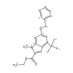 CCOC(=O)c1cc2c(C(F)(F)F)cc(OCc3ccccc3)cc2n1C